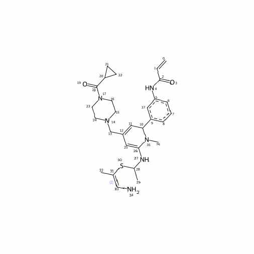 C=CC(=O)Nc1cccc(C2C=C(CN3CCN(C(=O)C4CC4)CC3)C=C(NC(C)S/C(C)=C\N)N2C)c1